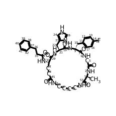 C[C@@H]1NC(=O)CNC(=O)[C@@H](Cc2ccc(F)cc2)NC(=O)[C@H](Cc2c[nH]cn2)NC(=O)[C@@H](NC(=O)CCc2ccccc2)CCC(=O)NCCCCNC1=O